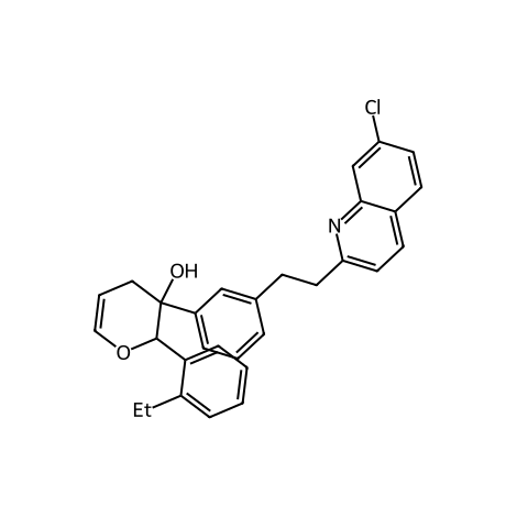 CCc1ccccc1C1OC=CCC1(O)c1cccc(CCc2ccc3ccc(Cl)cc3n2)c1